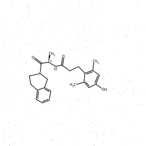 Cc1cc(O)cc(C)c1CCC(=O)N[C@H](C)C(=O)N1CCc2ccccc2C1